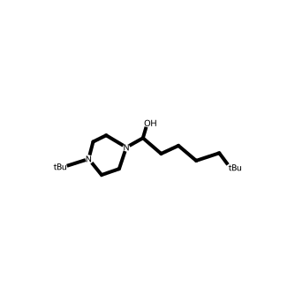 CC(C)(C)CCCCC(O)N1CCN(C(C)(C)C)CC1